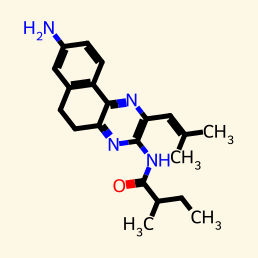 CCC(C)C(=O)Nc1nc2c(nc1C=C(C)C)-c1ccc(N)cc1CC2